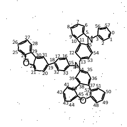 c1ccc(-n2c3ccccc3c3cc(N(c4ccc(-c5ccc6oc7ccccc7c6c5)cc4)c4ccc5c(c4)-c4ccccc4Oc4ccccc4-5)ccc32)cc1